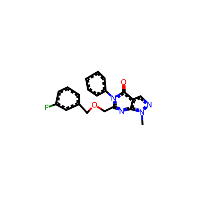 Cn1ncc2c(=O)n(-c3ccccc3)c(COCc3cccc(F)c3)nc21